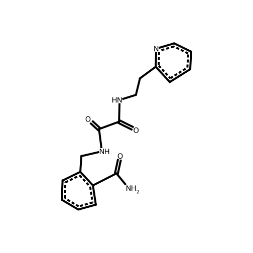 NC(=O)c1ccccc1CNC(=O)C(=O)NCCc1ccccn1